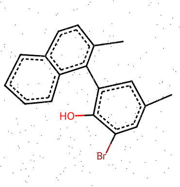 Cc1cc(Br)c(O)c(-c2c(C)ccc3ccccc23)c1